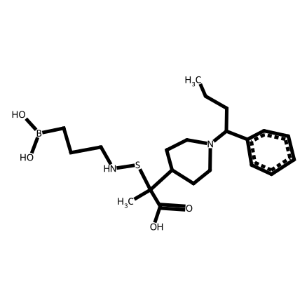 CCCC(c1ccccc1)N1CCC(C(C)(SNCCCB(O)O)C(=O)O)CC1